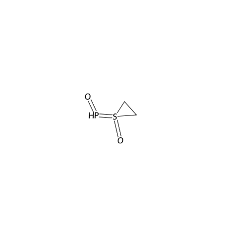 O=[PH]=S1(=O)CC1